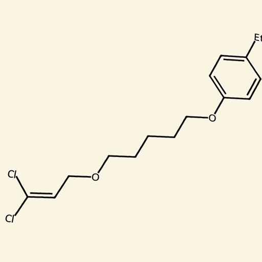 CCc1ccc(OCCCCCOCC=C(Cl)Cl)cc1